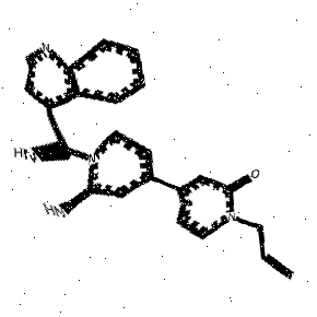 C=CCn1ccc(-c2ccn(C(=N)c3ccnc4ccccc34)c(=N)c2)cc1=O